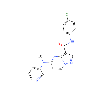 CN(c1cccnc1)c1ccn2ncc(C(=O)Nc3ccc(Cl)cc3)c2n1